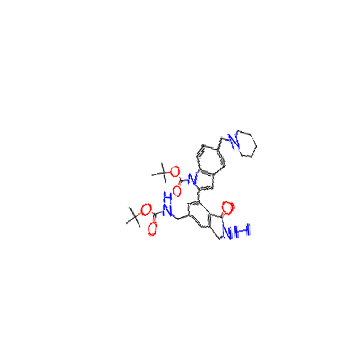 CC(C)(C)OC(=O)NCc1cc2c(c(-c3cc4cc(CN5CCCCC5)ccc4n3C(=O)OC(C)(C)C)c1)C(=O)NC2